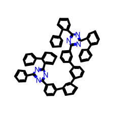 c1ccc(-c2nc(-c3cccc(-c4cccc(-c5cccc(-c6cccc(-c7nc(-c8ccccc8-c8ccccc8)nc(-c8ccccc8-c8ccccc8)n7)c6)c5)c4)c3)nc(-c3ccccc3-c3ccccc3)n2)cc1